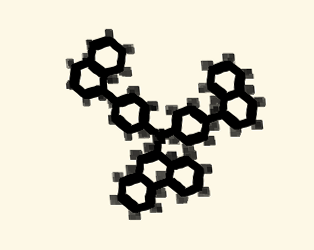 C1=Cc2cccc(-c3ccc(N(c4ccc(-c5cccc6ccccc56)cc4)c4cc5ccccc5c5ccccc45)cc3)c2CC1